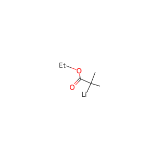 [Li][C](C)(C)C(=O)OCC